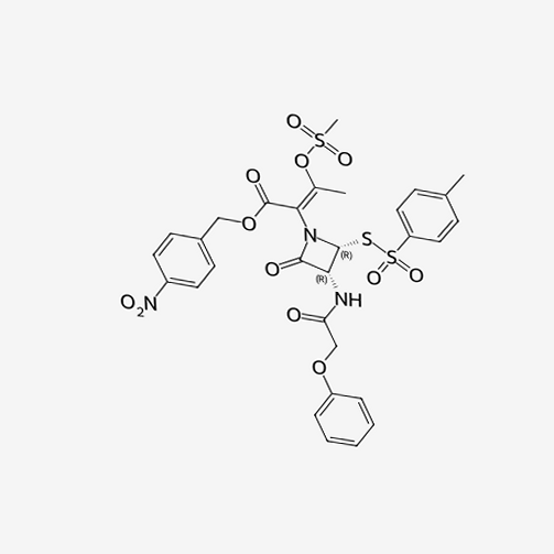 CC(OS(C)(=O)=O)=C(C(=O)OCc1ccc([N+](=O)[O-])cc1)N1C(=O)[C@@H](NC(=O)COc2ccccc2)[C@H]1SS(=O)(=O)c1ccc(C)cc1